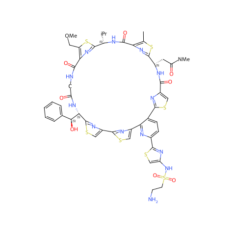 CNC(=O)C[C@@H]1NC(=O)c2csc(n2)-c2ccc(-c3nc(NS(=O)(=O)CCN)cs3)nc2-c2csc(n2)-c2csc(n2)[C@H]([C@@H](O)c2ccccc2)NC(=O)CNC(=O)c2nc(sc2COC)[C@H](C(C)C)NC(=O)c2nc1sc2C